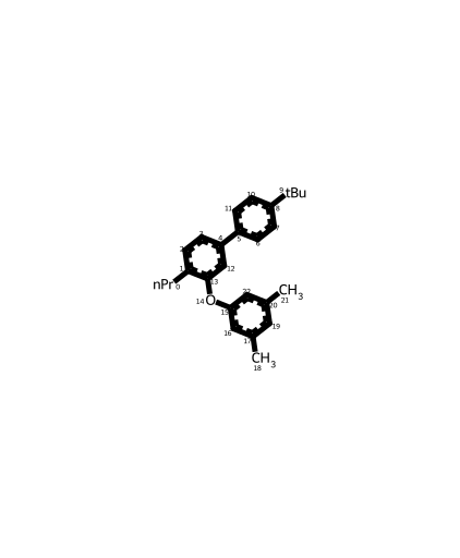 CCCc1ccc(-c2ccc(C(C)(C)C)cc2)cc1Oc1cc(C)cc(C)c1